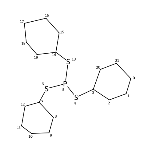 C1CCC(SP(SC2CCCCC2)SC2CCCCC2)CC1